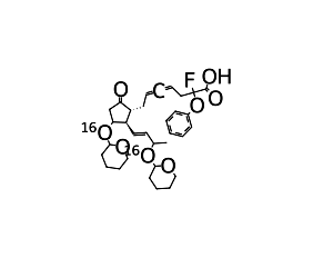 CC(/C=C/[C@H]1C([16O]C2CCCCO2)CC(=O)[C@@H]1CC=C=CCC(F)(Oc1ccccc1)C(=O)O)[16O]C1CCCCO1